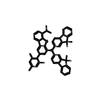 Cc1cc(C)c(-c2cc(N(c3ccc4c(c3)C(C)(C)c3ccccc3-4)c3ccc4c(c3)C(C)(C)c3ccccc3-4)c3oc4c(C(C)C)cccc4c3c2)c(C)c1